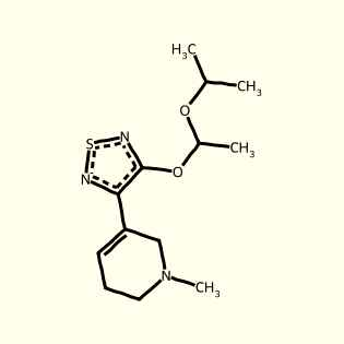 CC(C)OC(C)Oc1nsnc1C1=CCCN(C)C1